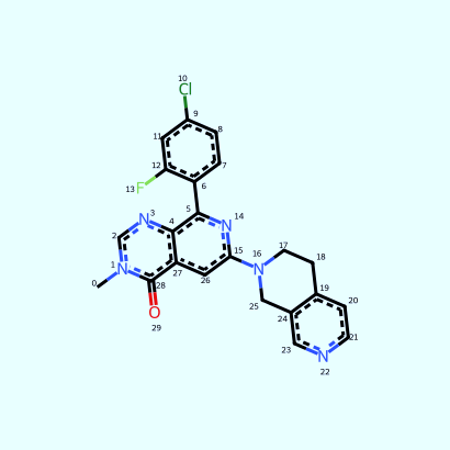 Cn1cnc2c(-c3ccc(Cl)cc3F)nc(N3CCc4ccncc4C3)cc2c1=O